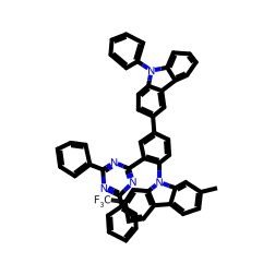 Cc1ccc2c3ccc(C(F)(F)F)cc3n(-c3ccc(-c4ccc5c(c4)c4ccccc4n5-c4ccccc4)cc3-c3nc(-c4ccccc4)nc(-c4ccccc4)n3)c2c1